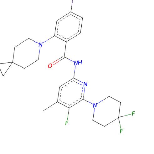 Cc1cc(NC(=O)c2ccc(I)cc2N2CCC3(CC2)CC3)nc(N2CCC(F)(F)CC2)c1F